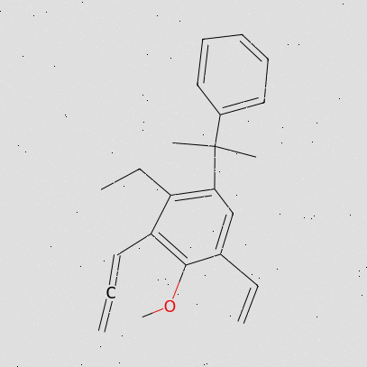 C=C=Cc1c(CC)c(C(C)(C)c2ccccc2)cc(C=C)c1OC